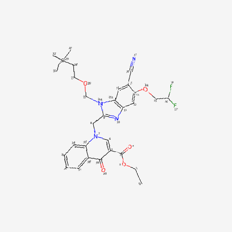 CCOC(=O)c1cn(Cc2nc3cc(OCC(F)F)c(C#N)cc3n2COCC[Si](C)(C)C)c2ccccc2c1=O